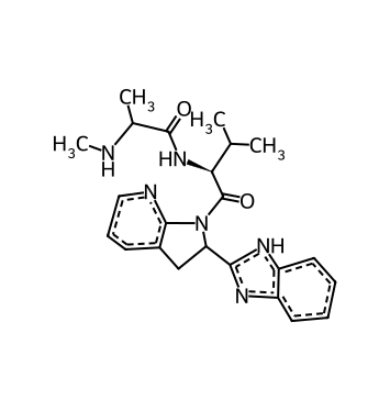 CNC(C)C(=O)N[C@H](C(=O)N1c2ncccc2CC1c1nc2ccccc2[nH]1)C(C)C